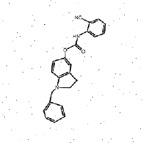 N#Cc1ccccc1NC(=O)Oc1ccc2c(c1)CCN2Cc1ccccc1